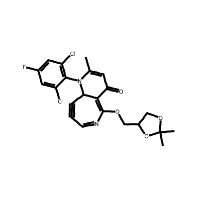 CC1=CC(=O)C2=C(OCC3COC(C)(C)O3)N=CC#CC2N1c1c(Cl)cc(F)cc1Cl